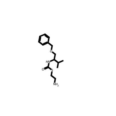 CC(C)C(COCc1ccccc1)NC(=O)SCCN